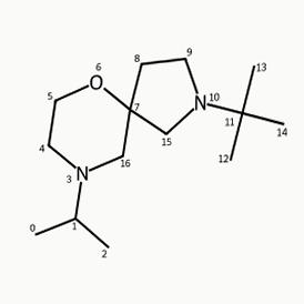 CC(C)N1CCOC2(CCN(C(C)(C)C)C2)C1